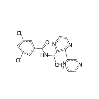 CC(NC(=O)c1cc(Cl)cc(Cl)c1)c1nccnc1-c1cnccn1